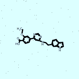 CCOc1cc(-c2cc(NCCc3ccc4cc[nH]c4c3)ncn2)ccc1C(=O)O